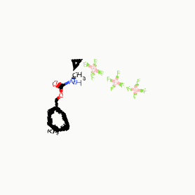 C1CC1.CNC(=O)OCc1ccccc1.F[B-](F)(F)F.F[B-](F)(F)F.F[B-](F)(F)F.[KH]